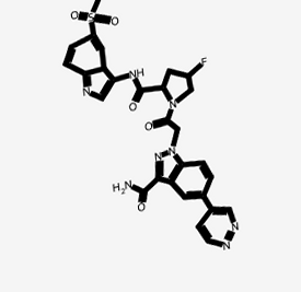 CS(=O)(=O)C1=CC2C(NC(=O)C3CC(F)CN3C(=O)Cn3nc(C(N)=O)c4cc(-c5ccnnc5)ccc43)=CN=C2C=C1